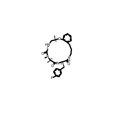 C[C@@H]1CNCC(=O)N(C)[C@H](C)C(=O)N[C@H](Cc2ccc(F)cc2)C(=O)NCCCc2ccccc2O1